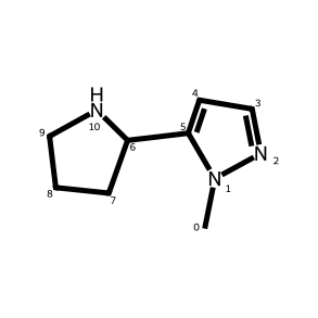 Cn1nccc1C1CCCN1